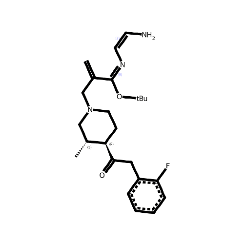 C=C(CN1CC[C@@H](C(=O)Cc2ccccc2F)[C@H](C)C1)/C(=N\C=C/N)OC(C)(C)C